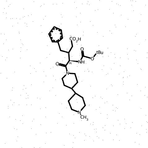 CN1CCC(C2CCN(C(=O)[C@H](NC(=O)OC(C)(C)C)C(CC(=O)O)Cc3ccccc3)CC2)CC1